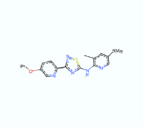 CNc1cnc(Nc2nc(-c3ccc(OC(C)C)cn3)ns2)c(C)c1